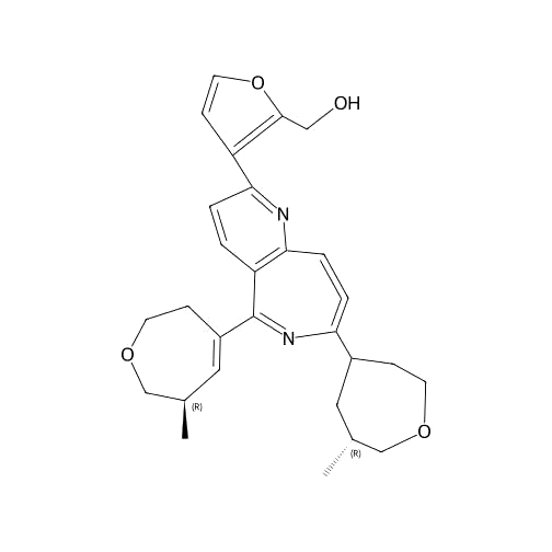 C[C@H]1COCCC(C2=C=Cc3nc(-c4ccoc4CO)ccc3C(C3=C[C@@H](C)COCC3)=N2)C1